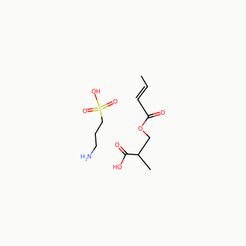 CC=CC(=O)OCC(C)C(=O)O.NCCCS(=O)(=O)O